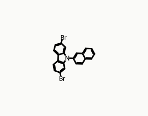 Brc1ccc2c3ccc(Br)cc3n(-c3ccc4ccccc4c3)c2c1